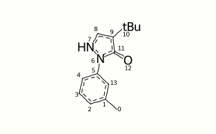 Cc1cccc(-n2[nH]cc(C(C)(C)C)c2=O)c1